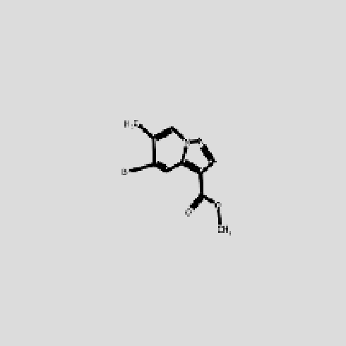 COC(=O)c1cnn2cc(C)c(Br)cc12